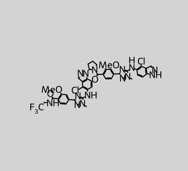 COc1cc(-c2nc(Nc3ccc4c(cnn4C4CCCN4C(=O)c4ccc(-c5nc(Nc6ccc7[nH]ncc7c6Cl)n(C)n5)cc4OC)c3Cl)n(C)n2)ccc1C(=O)NCC(F)(F)F